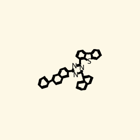 c1ccc(-c2ccc3cc(-c4nc(-c5cccc6ccccc56)nc(-c5cccc6c5sc5ccccc56)n4)ccc3c2)cc1